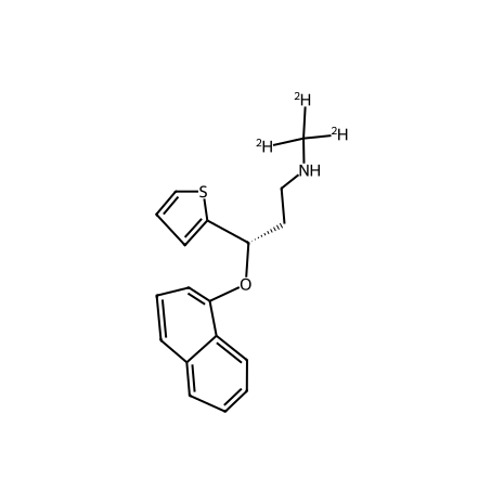 [2H]C([2H])([2H])NCC[C@H](Oc1cccc2ccccc12)c1cccs1